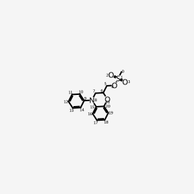 CS(=O)(=O)OCC1CN(c2ccccc2)c2ccccc2O1